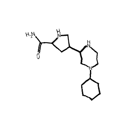 NC(=O)C1CC(C2CN(C3CCCCC3)CCN2)CN1